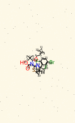 CC(C)(C)C(OCC[Si](C)(C)C)N(C(=O)O)C1=N[C@](CF)(c2cc(Br)ccc2F)[C@@H]2C[C@@H]2S1